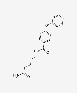 NC(=O)CCCCNC(=O)c1ccc(Oc2ccccc2)cc1